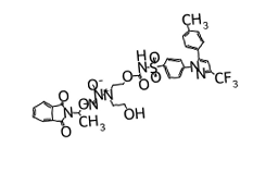 Cc1ccc(-c2cc(C(F)(F)F)nn2-c2ccc(S(=O)(=O)NC(=O)OCCN(CCO)[N+]([O-])=NOC(C)N3C(=O)c4ccccc4C3=O)cc2)cc1